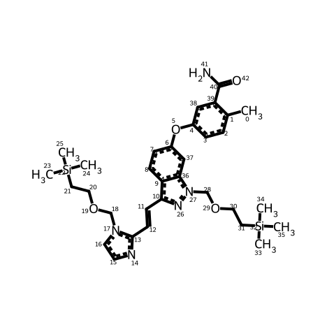 Cc1ccc(Oc2ccc3c(C=Cc4nccn4COCC[Si](C)(C)C)nn(COCC[Si](C)(C)C)c3c2)cc1C(N)=O